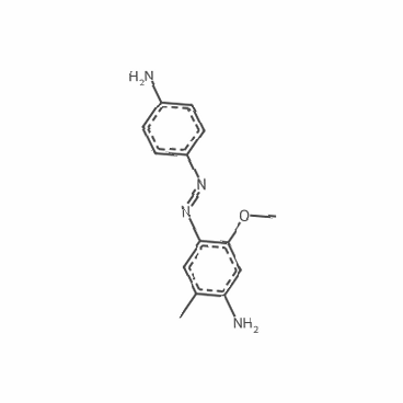 COc1cc(N)c(C)cc1N=Nc1ccc(N)cc1